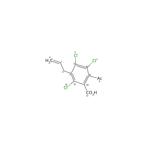 C=CCc1c(Cl)c(Cl)c(C(C)=O)c(C(=O)O)c1Cl